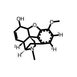 [2H]c1c([2H])c(OC)c2c3c1C[C@H]1N(C)CC[C@@]34C(O2)C(O)C=C[C@@]14[2H]